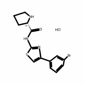 Cl.O=C(Nc1nc(-c2cccc(Br)c2)cs1)[C@@H]1CCCN1